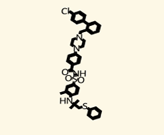 Cc1cc(S(=O)(=O)NC(=O)c2ccc(N3CCN(Cc4ccccc4-c4ccc(Cl)cc4)CC3)cc2)ccc1NC(C)(C)CSc1ccccc1